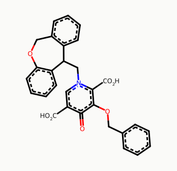 O=C(O)c1cn(CC2c3ccccc3COc3ccccc32)c(C(=O)O)c(OCc2ccccc2)c1=O